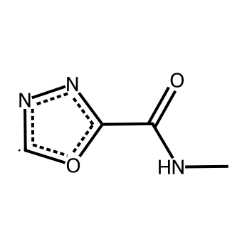 CNC(=O)c1nn[c]o1